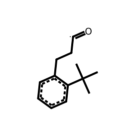 CC(C)(C)c1ccccc1CC[C]=O